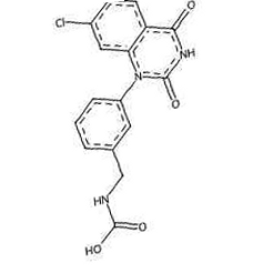 O=C(O)NCc1cccc(-n2c(=O)[nH]c(=O)c3ccc(Cl)cc32)c1